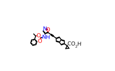 CC(OC(=O)Nc1cnoc1C#CC1=CC2=CC(C3(C(=O)O)CC3)=CC2=C1)c1ccccc1